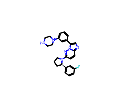 Fc1cccc([C@H]2CCCN2c2ccc3ncc(-c4cccc(N5CCNCC5)c4)n3n2)c1